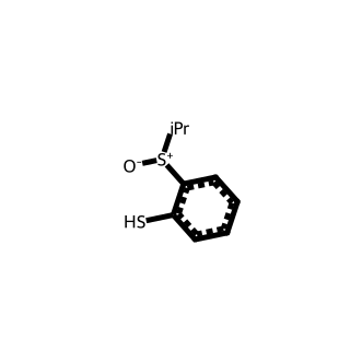 CC(C)[S+]([O-])c1ccccc1S